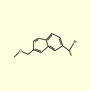 COCc1ccc2ccc(C(C)Br)cc2c1